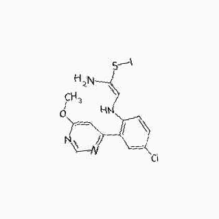 COc1cc(-c2cc(Cl)ccc2N/C=C(\N)SI)ncn1